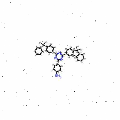 CC1(C)c2ccccc2-c2cc(-c3nc(-c4ccc(N)cc4)nc(-c4ccc5c(c4)-c4ccccc4C5(C)C)n3)ccc21